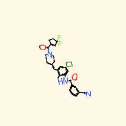 Cc1c(C=C2CCN(C(=O)C3CCC(F)(F)C3)CC2)cc(Cl)cc1NC(=O)c1cccc(C#N)c1